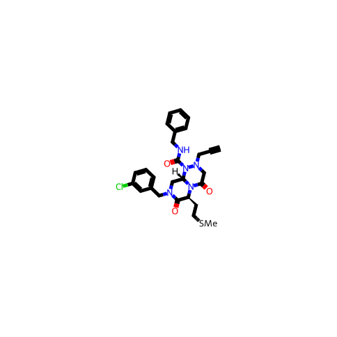 C#CCN1CC(=O)N2[C@@H](CCSC)C(=O)N(Cc3cccc(Cl)c3)C[C@@H]2N1C(=O)NCc1ccccc1